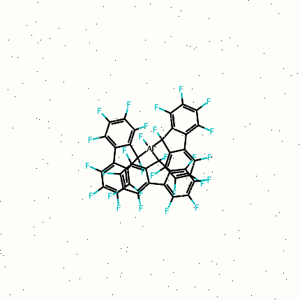 Fc1c(F)c(F)c2c(c1F)-c1c(F)c(F)c(F)c(F)c1[C]2(F)[Al-]([F])([C]1(F)c2c(F)c(F)c(F)c(F)c2-c2c(F)c(F)c(F)c(F)c21)[C]1(F)c2c(F)c(F)c(F)c(F)c2-c2c(F)c(F)c(F)c(F)c21